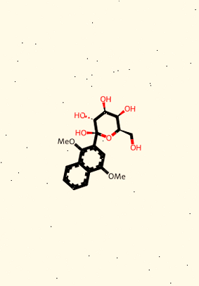 COc1cc([C@@]2(O)O[C@H](CO)[C@H](O)[C@H](O)[C@H]2O)c(OC)c2ccccc12